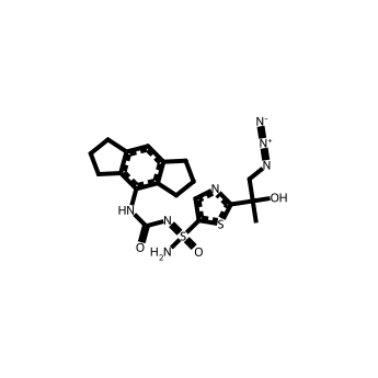 CC(O)(CN=[N+]=[N-])c1ncc(S(N)(=O)=NC(=O)Nc2c3c(cc4c2CCC4)CCC3)s1